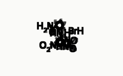 Br.NC(=O)[C@H]1CCCC[C@H]1NCc1cc([N+](=O)[O-])cc2[nH]c(=O)c(=O)[nH]c12